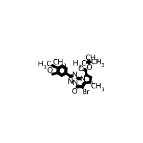 C[C@@H]1CC(C(=O)OC(C)(C)C)n2c1c(Br)c(=O)n1nc(-c3ccc4c(c3)COC4(C)C)nc21